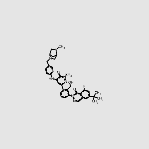 CN1CC2CC1CN2Cc1ccc(Nc2cc(-c3cccc(-n4ncc5cc(C(C)(C)C)cc(F)c5c4=O)c3CO)nn(C)c2=O)nc1